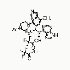 CC(=O)N1CCN(c2c(C(C)Nc3ncnc4[nH]cnc34)cc(C)c3cncn23)CC1.O=C(O)C(F)(F)F.O=C(O)C(F)(F)F